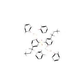 Cc1ccccc1OP(Oc1ccccc1C)Oc1ccc(C(C)(C)CC(C)(C)C)cc1S(=O)(=O)c1cc(C(C)(C)CC(C)(C)C)ccc1OP(Oc1ccccc1C)Oc1ccccc1C